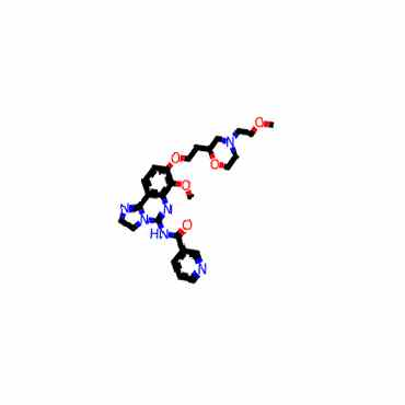 COCCN1CCOC(CCOc2ccc3c(c2OC)N=C(NC(=O)c2cccnc2)N2CCN=C32)C1